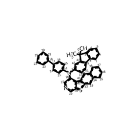 CC1(C)c2ccccc2-c2ccc(N(c3ccc(-c4ccccc4)cc3)c3cncc4sc5cc6ccccc6cc5c34)cc21